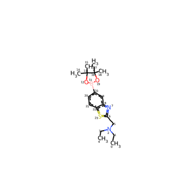 CCN(CC)Cc1nc2cc(B3OC(C)(C)C(C)(C)O3)ccc2s1